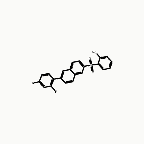 N#Cc1ccccc1S(=O)(=O)c1ccc2cc(-c3ccc(F)cc3F)ccc2c1